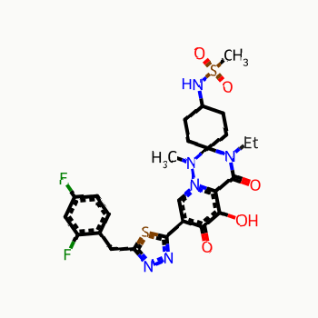 CCN1C(=O)c2c(O)c(=O)c(-c3nnc(Cc4ccc(F)cc4F)s3)cn2N(C)C12CCC(NS(C)(=O)=O)CC2